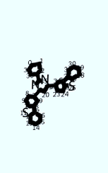 c1ccc(-c2nc(-c3ccc4sc5ccccc5c4c3)cc(-c3ccc4sc5ccccc5c4c3)n2)cc1